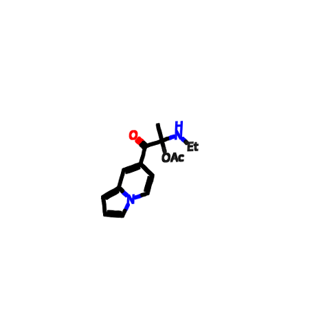 CCNC(C)(OC(C)=O)C(=O)c1ccn2cccc2c1